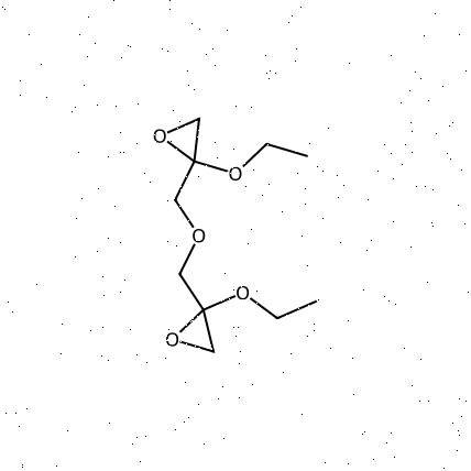 CCOC1(COCC2(OCC)CO2)CO1